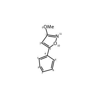 [CH2]Oc1cc(-c2ccccc2)on1